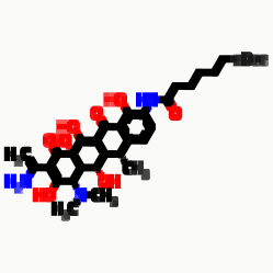 C=C(N)C1=C(O)[C@@H](N(C)C)C2[C@@H](O)C3C(=C(O)[C@]2(O)C1=O)C(=O)c1c(ccc(NC(=O)CCCCCCCCCCCCCCC)c1O)[C@@H]3C